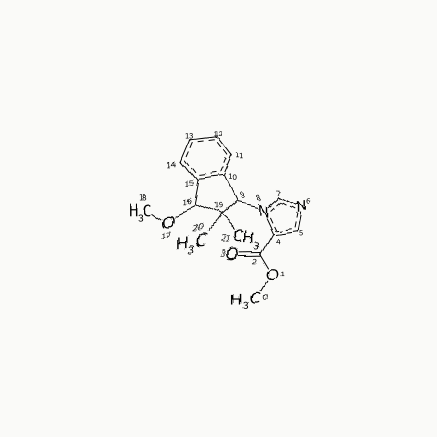 COC(=O)c1cncn1C1c2ccccc2C(OC)C1(C)C